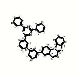 c1ccc(-c2nc(-c3ccccc3)nc(-c3cccc(-c4cccc(-c5ccc6c(ccc7nc8ccccc8n76)c5)c4)c3)n2)cc1